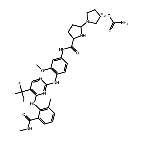 CNC(=O)c1cccc(C)c1Nc1nc(Nc2ccc(NC(=O)C3CCC(N4CC[C@H](OC(N)=O)C4)N3)cc2OC)ncc1C(F)(F)F